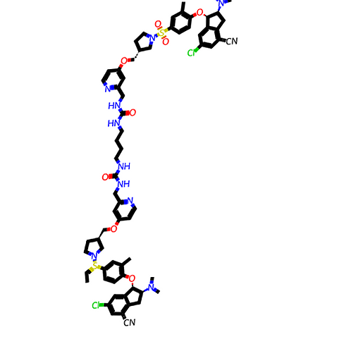 C/C=S(\c1ccc(O[C@H]2c3cc(Cl)cc(C#N)c3C[C@@H]2N(C)C)c(C)c1)N1CC[C@@H](COc2ccnc(CNC(=O)NCCCCNC(=O)NCc3cc(OC[C@@H]4CCN(S(=O)(=O)c5ccc(O[C@H]6c7cc(Cl)cc(C#N)c7C[C@@H]6N(C)C)c(C)c5)C4)ccn3)c2)C1